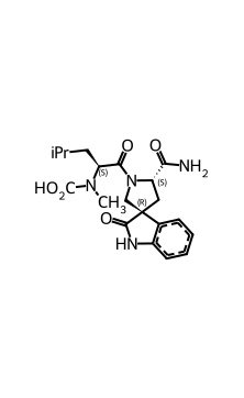 CC(C)C[C@@H](C(=O)N1C[C@]2(C[C@H]1C(N)=O)C(=O)Nc1ccccc12)N(C)C(=O)O